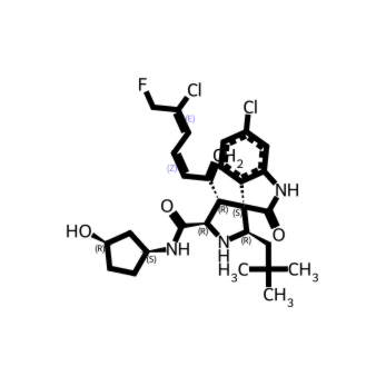 C=C(/C=C\C=C(\Cl)CF)[C@H]1[C@H](C(=O)N[C@H]2CC[C@@H](O)C2)N[C@H](CC(C)(C)C)[C@]12C(=O)Nc1cc(Cl)ccc12